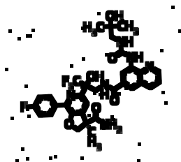 CC(C)(O)CNC(=O)Nc1cc(C(=O)NCC(O)(c2cc3c(c(-c4ccc(F)cc4)n2)OC[C@]3(C)C(N)=O)C(F)(F)F)cc2cccnc12